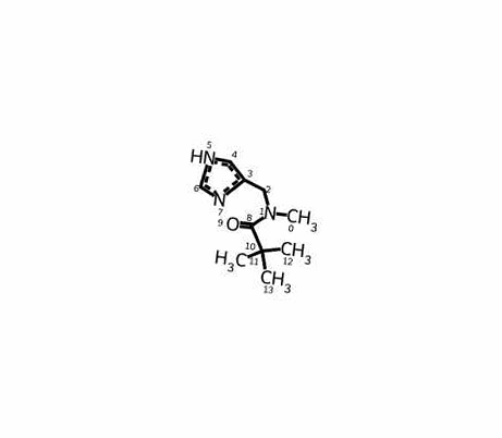 CN(Cc1c[nH]cn1)C(=O)C(C)(C)C